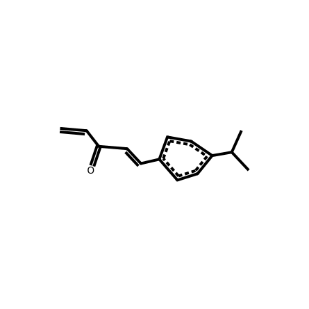 C=CC(=O)C=Cc1ccc(C(C)C)cc1